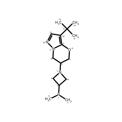 CN(C)C1CN(C2COc3c(C(C)(C)C)cnn3C2)C1